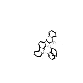 CC1(C)c2ccccc2Oc2c1n(-c1ccccc1)c1c2ccc2c3ccccc3n(-c3ccccc3)c21